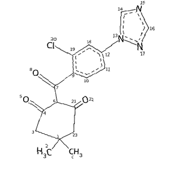 CC1(C)CC(=O)C(C(=O)c2ccc(-n3cncn3)cc2Cl)C(=O)C1